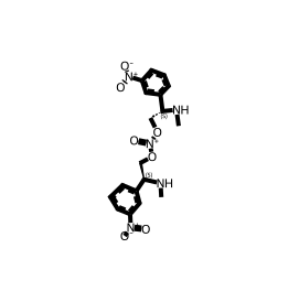 CN[C@H](CO[N+](=O)OC[C@@H](NC)c1cccc([N+](=O)[O-])c1)c1cccc([N+](=O)[O-])c1